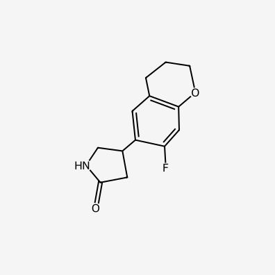 O=C1CC(c2cc3c(cc2F)OCCC3)CN1